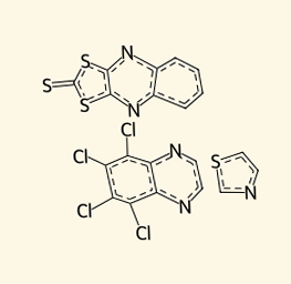 Clc1c(Cl)c(Cl)c2nccnc2c1Cl.S=c1sc2nc3ccccc3nc2s1.c1cscn1